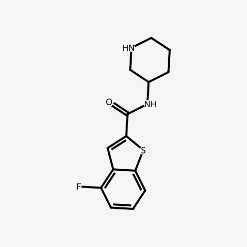 O=C(NC1CCCNC1)c1cc2c(F)cccc2s1